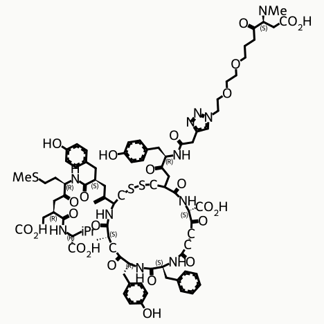 C=C(C[C@H](Cc1ccc(O)cc1)C(=O)N[C@H](CCSC)C(=O)C[C@H](CC(=O)O)C(=O)N[C@@H](C(=O)O)C(C)C)C1CSSCC(CC(=O)[C@@H](Cc2ccc(O)cc2)NC(=O)Cc2cn(CCOCCOCCCC(=O)[C@H](CC(=O)O)NC)nn2)C(=O)N[C@H](C(=O)O)C(=O)CCC(=O)N[C@@H](Cc2ccccc2)C(=O)N[C@H](Cc2ccc(O)cc2)C(=O)C[C@H](C)C(=O)N1